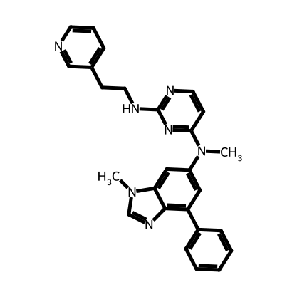 CN(c1cc(-c2ccccc2)c2ncn(C)c2c1)c1ccnc(NCCc2cccnc2)n1